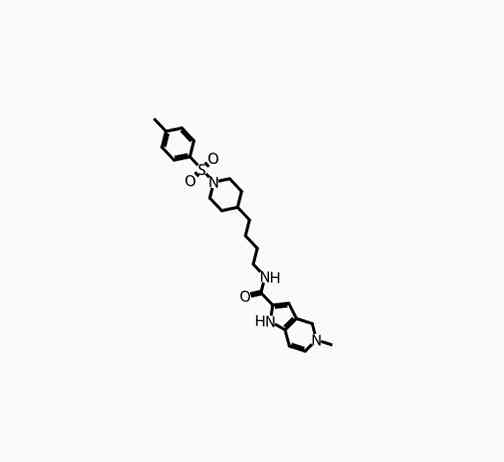 Cc1ccc(S(=O)(=O)N2CCC(CCCCNC(=O)c3cc4c([nH]3)C=CN(C)C4)CC2)cc1